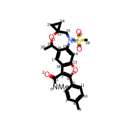 CNC(=O)c1c(-c2ccc(C)cc2)oc2cc3c(cc12)C(C)OC1(CC1)CN3S(C)(=O)=O